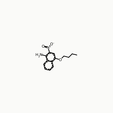 CCCCOc1cc([N+](=O)[O-])c(N)c2ccccc12